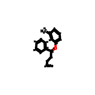 CNCCC(Oc1cccc(C)c1)c1ccccc1